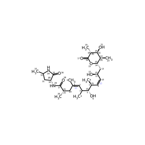 C/C(=C/C(C)[C@@H](O)[C@@H](C)/C=C\[C@@H](O)C[C@@H]1OC(=O)[C@H](C)[C@@H](O)[C@H]1C)C[C@H](C)C(=O)N[C@@H]1CC(C)NC1=O